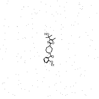 CCOc1ccccc1C(=O)N1CCCN(c2nc(C(C)(C)O)c(C)o2)CC1